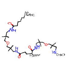 CCCCCCCCCCCCCCCC(=O)NCC(C)(C)COCC(C)(C)CNC(=O)CC[C@H](NC)C(=O)NCC(C)(C)COCC(C)(C)CNC=O